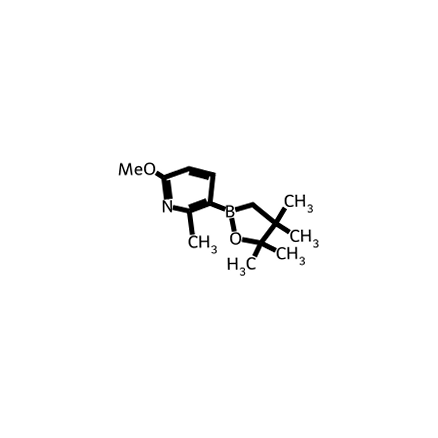 COc1ccc(B2CC(C)(C)C(C)(C)O2)c(C)n1